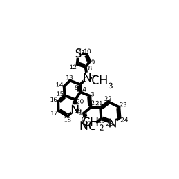 C=C/C(=C\C1=C(N(C)c2ccsc2)CCc2cccnc21)c1cccnc1C#N